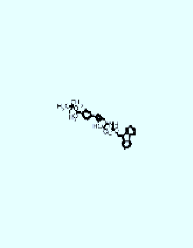 CC(C)(C)OC(=O)c1ccc(C23CC(C[C@H](NC(=O)OCC4c5ccccc5-c5ccccc54)C(=O)O)(C2)C3)cc1